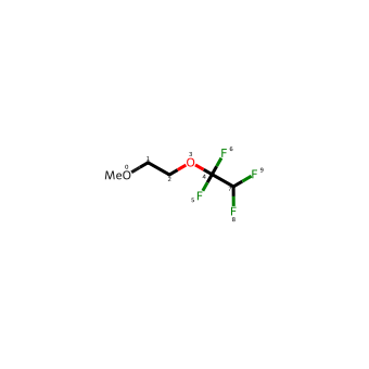 COCCOC(F)(F)C(F)F